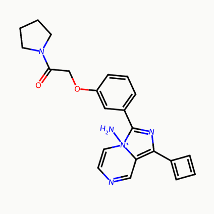 N[N+]12C=CN=CC1=C(C1=CC=C1)N=C2c1cccc(OCC(=O)N2CCCC2)c1